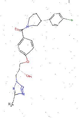 Cc1nnn(C[C@@H](O)COc2ccc(C(=O)N3CC[C@H](c4ccc(F)cc4)C3)cc2)n1